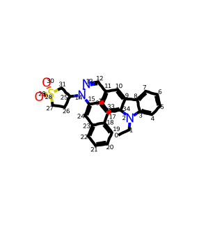 CCn1c2ccccc2c2cc(/C=N\N(c3ccc4ccccc4c3)C3CCS(=O)(=O)C3)ccc21